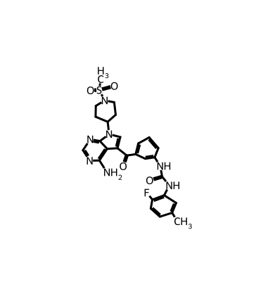 Cc1ccc(F)c(NC(=O)Nc2cccc(C(=O)c3cn(C4CCN(S(C)(=O)=O)CC4)c4ncnc(N)c34)c2)c1